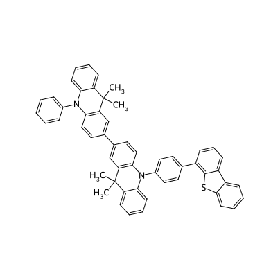 CC1(C)c2ccccc2N(c2ccccc2)c2ccc(-c3ccc4c(c3)C(C)(C)c3ccccc3N4c3ccc(-c4cccc5c4sc4ccccc45)cc3)cc21